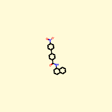 O=C(Nc1cccc2ccccc12)c1ccc(-c2ccc([N+](=O)[O-])cc2)cc1